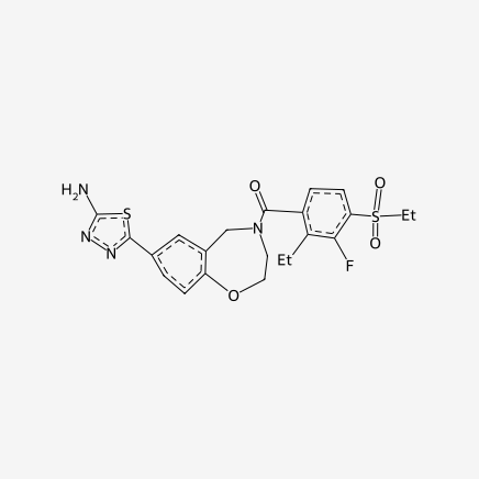 CCc1c(C(=O)N2CCOc3ccc(-c4nnc(N)s4)cc3C2)ccc(S(=O)(=O)CC)c1F